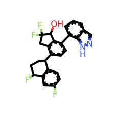 OC1c2c(-c3cccc4cn[nH]c34)ccc(C3CCC(F)c4cc(F)ccc43)c2CC1(F)F